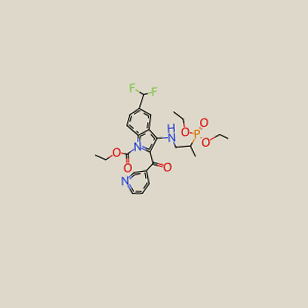 CCOC(=O)n1c(C(=O)c2cccnc2)c(NCC(C)P(=O)(OCC)OCC)c2cc(C(F)F)ccc21